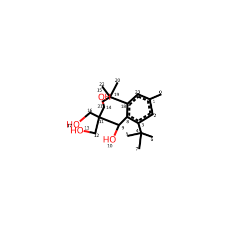 Cc1cc(C(C)(C)C)c(C(O)C(CO)(CO)CO)c(C(C)(C)C)c1